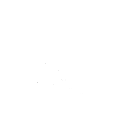 CCc1ccc2c(c1)C(NCC(O)C(Cc1cc(F)cc(F)c1)Nc1n[nH]nc1Br)CS(=O)(=O)C2